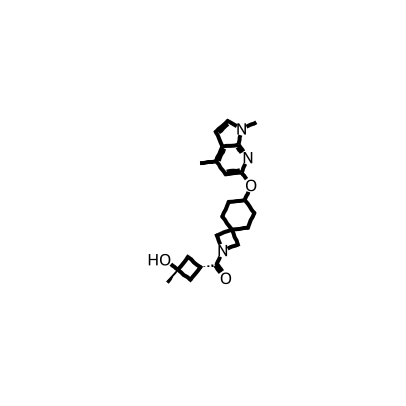 Cc1cc(OC2CCC3(CC2)CN(C(=O)[C@H]2C[C@@](C)(O)C2)C3)nc2c1ccn2C